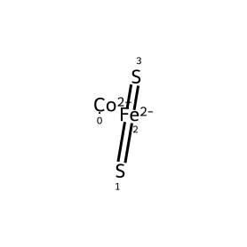 [Co+2].[S]=[Fe-2]=[S]